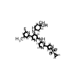 Cc1cc(F)nc(-c2cnc(Nc3ccnc(-c4cnn(S(=O)(=O)C5CC5)c4)n3)cc2NC2CCC(C)(O)CC2)c1